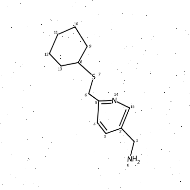 NCc1ccc(CSC2CCCCC2)nc1